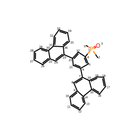 CP(C)(=O)c1cc(-c2cc3ccccc3c3ccccc23)cc(-c2cc3ccccc3c3ccccc23)c1